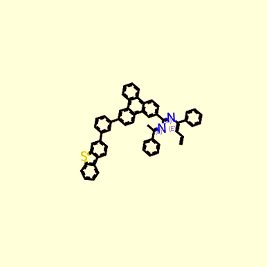 C=C/C=C(/N=C(\N=C(/C)c1ccccc1)c1ccc2c3ccccc3c3cc(-c4cccc(-c5ccc6c(c5)sc5ccccc56)c4)ccc3c2c1)c1ccccc1